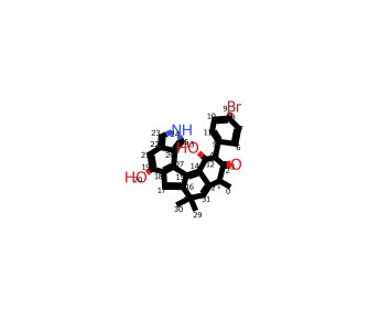 CC1C(=O)C(c2ccc(Br)cc2)C(O)C2=C3C(=Cc4c(O)cc5c[nH]cc5c43)C(C)(C)C=C21